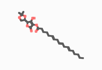 CCCCCC=CCC=CCC=CCCCCC(=O)OC1=C(O)C(C2COC(C)(C)O2)OC1=O